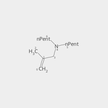 C=C(C)CN(CCCCC)CCCCC